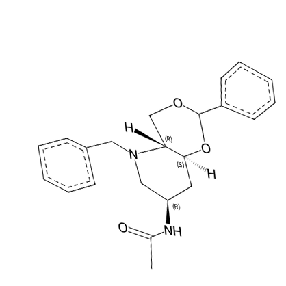 CC(=O)N[C@@H]1C[C@@H]2OC(c3ccccc3)OC[C@H]2N(Cc2ccccc2)C1